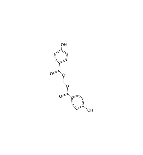 O=C(OCOC(=O)c1ccc(O)cc1)c1ccc(O)cc1